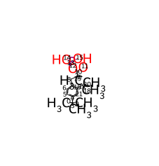 CC(C)(C)c1ccc(CCC(=O)OP(O)O)c(C(C)(C)C)c1